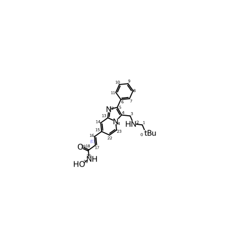 CC(C)(C)CNCc1c(-c2ccccc2)nc2cc(/C=C/C(=O)NO)ccn12